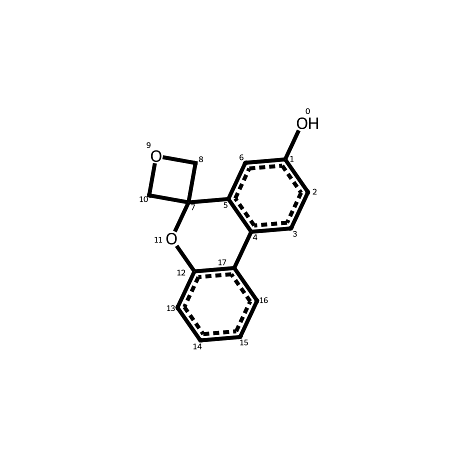 Oc1ccc2c(c1)C1(COC1)Oc1ccccc1-2